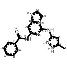 Cc1cc(Nc2nc(NC(=O)c3ccccc3)cc3nccn23)n[nH]1